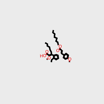 CCCCCCC(=C(OC)C(=O)O)c1ccccc1CC.CCCCCCCCOC(=O)C=Cc1ccc(OC)cc1